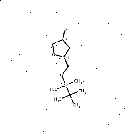 CC(C)(C)[Si](C)(C)OC[C@@H]1C[C@H](O)CO1